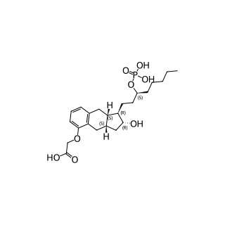 CCCCC[C@@H](CC[C@@H]1[C@H]2Cc3cccc(OCC(=O)O)c3C[C@H]2C[C@H]1O)OP(=O)(O)O